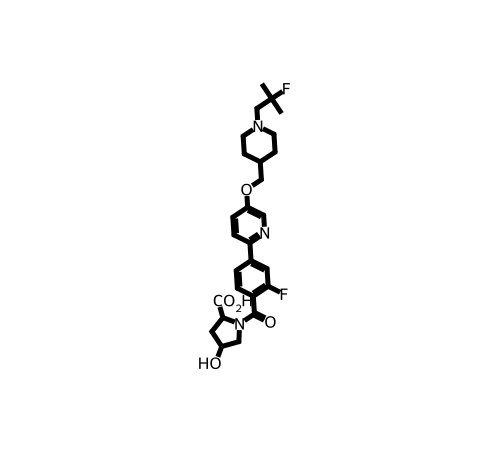 CC(C)(F)CN1CCC(COc2ccc(-c3ccc(C(=O)N4CC(O)CC4C(=O)O)c(F)c3)nc2)CC1